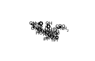 CCC[C@H](NC(=O)[C@H](CC(C)C)NC(=O)[C@H](Cc1ccc(O)cc1)NC(=O)[C@@H](CO)NC(=O)[C@H](Cc1ccccc1)NC(=O)[C@H](C)NC(=O)[C@H](N)CO)C(=O)N1CCC[C@H]1C(=O)N[C@H](C(=O)N[C@@H](C=O)CC(N)=O)[C@@H](C)CC